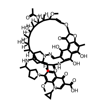 COc1c(N2CCC(C(C)NC3CCN(/N=C/c4c5c(O)c6c(O)c(C)c7c(c6c4O)C(=O)[C@@](C)(O/C=C/[C@H](OC)[C@@H](C)[C@@H](OC(C)=O)[C@H](C)[C@H](O)[C@H](C)[C@@H](O)[C@@H](C)/C=C/C=C(/C)C(=O)N5)O7)CC3)C2)c(F)cc2c(=O)c(C(=O)O)cn(C3CC3)c12